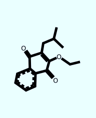 CCOC1=C(CC(C)C)C(=O)c2ccccc2C1=O